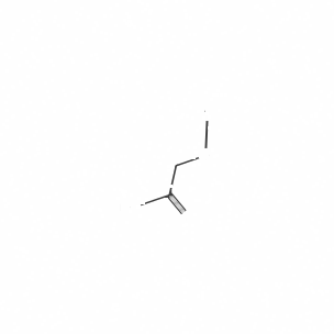 [N]OCC(=O)O